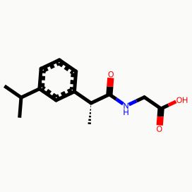 CC(C)c1cccc([C@@H](C)C(=O)NCC(=O)O)c1